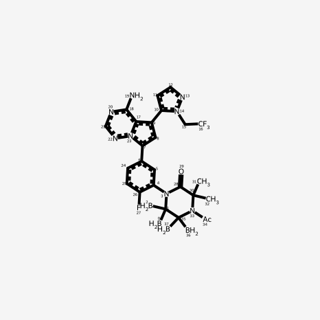 BC1(B)N(c2cc(-c3cc(-c4ccnn4CC(F)(F)F)c4c(N)ncnn34)ccc2F)C(=O)C(C)(C)N(C(C)=O)C1(B)B